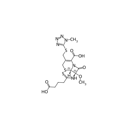 CO[C@@]1(NC(=S)CCCC(=O)O)C(=O)N2C(C(=O)O)=C(CSc3nnnn3C)CS[C@H]21